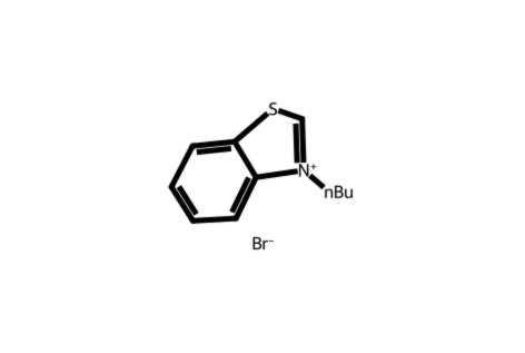 CCCC[n+]1csc2ccccc21.[Br-]